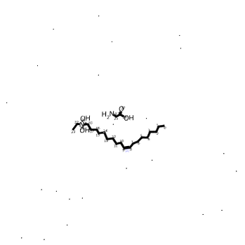 CCCCCCCC/C=C\CCCCCCCCC[N+](O)(O)CC.NCC(=O)O